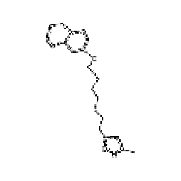 Cc1cc(CCCCCCCOc2ccc3ccccc3c2)on1